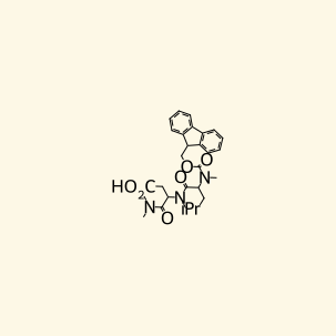 CC(C)CC(C(=O)N(C)C(CC(=O)O)C(=O)N(C)C)N(C)C(=O)OCC1c2ccccc2-c2ccccc21